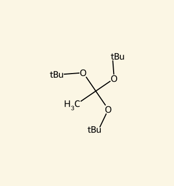 CC(C)(C)OC(C)(OC(C)(C)C)OC(C)(C)C